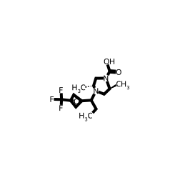 CCC(N1C[C@H](C)N(C(=O)O)C[C@H]1C)C12CC(C(F)(F)F)(C1)C2